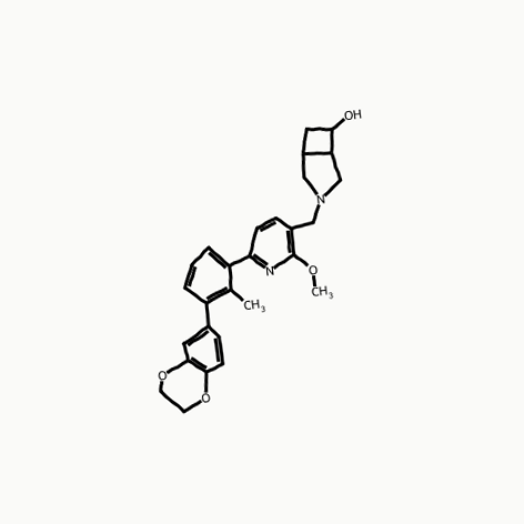 COc1nc(-c2cccc(-c3ccc4c(c3)OCCO4)c2C)ccc1CN1CC2CC(O)C2C1